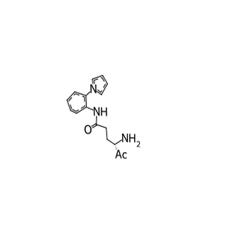 CC(=O)[C@@H](N)CCC(=O)Nc1ccccc1-n1cccc1